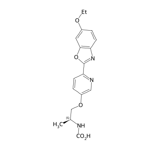 CCOc1ccc2nc(-c3ccc(OC[C@H](C)NC(=O)O)cn3)oc2c1